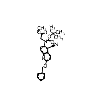 COC(=O)CN(C(=O)OC(C)(C)C)c1ccc2nc(OCc3ccccc3)ccc2c1C#N